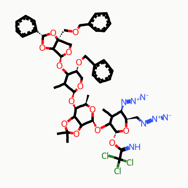 CC1C(O[C@@H]2OC[C@]3(COCc4ccccc4)O[C@@H](c4ccccc4)OC23)[C@H](OCc2ccccc2)CO[C@H]1O[C@@H]1C2OC(C)(C)OC2[C@H](OC2C(C)[C@@H](N=[N+]=[N-])[C@@H](CN=[N+]=[N-])O[C@@H]2OC(=N)C(Cl)(Cl)Cl)O[C@@H]1C